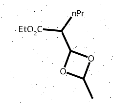 CCCC(C(=O)OCC)C1OC(C)O1